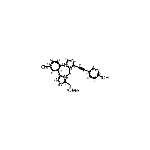 COCc1nnc2n1Cc1c(C#Cc3ccc(O)nc3)ncn1-c1ccc(Cl)cc1-2